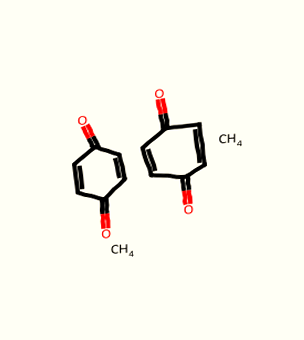 C.C.O=C1C=CC(=O)C=C1.O=C1C=CC(=O)C=C1